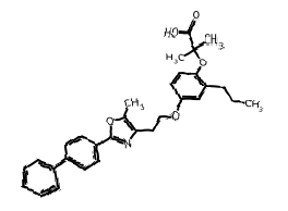 CCCc1cc(OCCc2nc(-c3ccc(-c4ccccc4)cc3)oc2C)ccc1OC(C)(C)C(=O)O